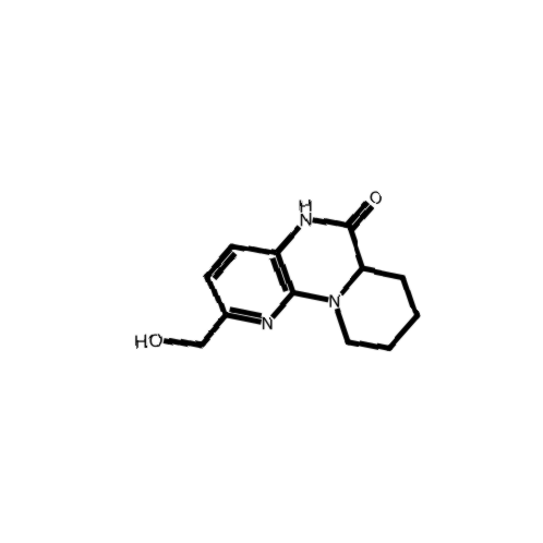 O=C1Nc2ccc(CO)nc2N2CCCCC12